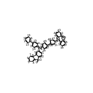 CC1(C)c2ccccc2-c2cc(N(c3ccc(-c4ccccc4)cc3)c3ccc(-c4ccc(N5c6ccccc6Oc6ccccc65)cc4)cc3)ccc21